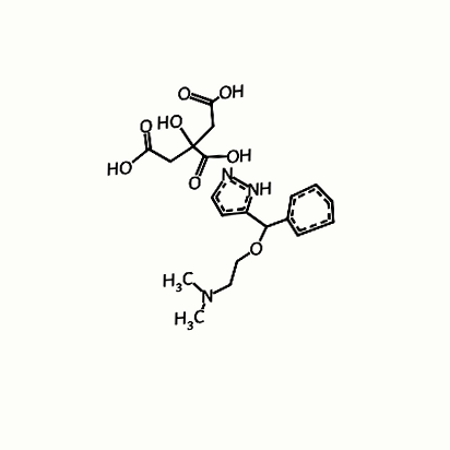 CN(C)CCOC(c1ccccc1)c1ccn[nH]1.O=C(O)CC(O)(CC(=O)O)C(=O)O